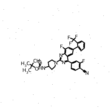 CC(C)(C)OC(=O)NC1CCN(c2nc(-c3ccc(C#N)c(F)c3)c3cc(-c4ccccc4C(F)(F)F)cc(F)c3n2)CC1